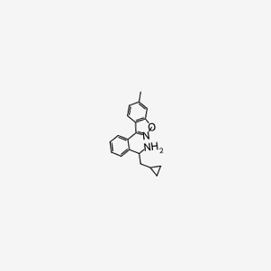 Cc1ccc2c(-c3ccccc3C(N)CC3CC3)noc2c1